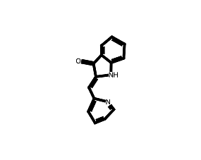 O=C1/C(=C/c2ccccn2)Nc2ccccc21